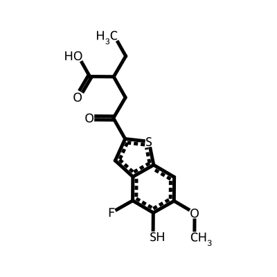 CCC(CC(=O)c1cc2c(F)c(S)c(OC)cc2s1)C(=O)O